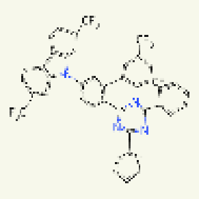 FC(F)(F)c1cc(-c2cc(-n3c4cc(C(F)(F)F)ccc4c4ccc(C(F)(F)F)cc43)ccc2-c2nc(-c3ccccc3)nc(-c3ccccc3)n2)cc(C(F)(F)F)c1